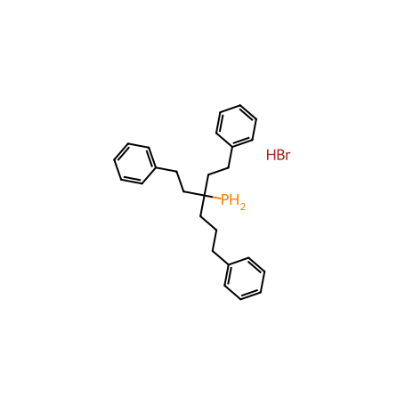 Br.PC(CCCc1ccccc1)(CCc1ccccc1)CCc1ccccc1